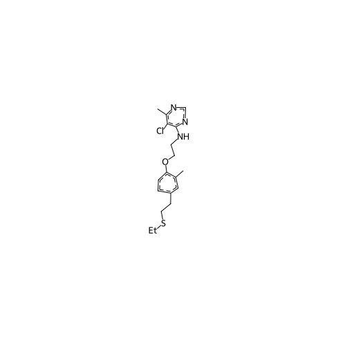 CCSCCc1ccc(OCCNc2ncnc(C)c2Cl)c(C)c1